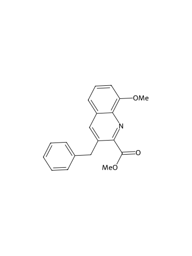 COC(=O)c1nc2c(OC)cccc2cc1Cc1ccccc1